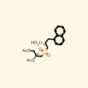 CC(=O)OC[C@@H](CS(=O)(=O)C[C@@H](Cc1cccc2ccccc12)C(=O)O)OC(C)=O